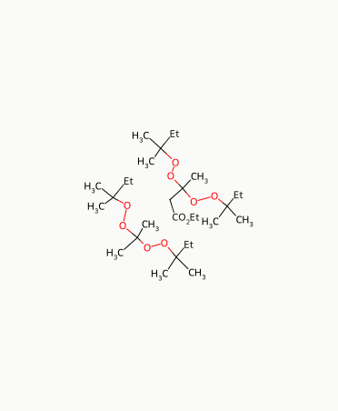 CCC(C)(C)OOC(C)(C)OOC(C)(C)CC.CCOC(=O)CC(C)(OOC(C)(C)CC)OOC(C)(C)CC